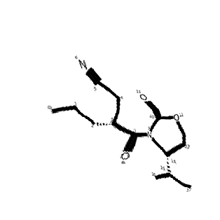 CCC[C@H](CC#N)C(=O)N1C(=O)OC[C@@H]1C(C)C